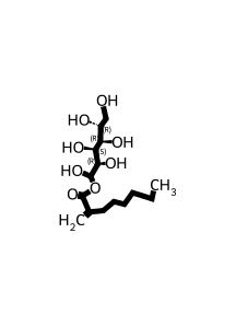 C=C(CCCCCC)C(=O)OC(O)[C@H](O)[C@@H](O)[C@H](O)[C@H](O)CO